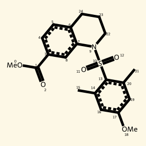 COC(=O)c1ccc2c(c1)N(S(=O)(=O)c1c(C)cc(OC)cc1C)CCC2